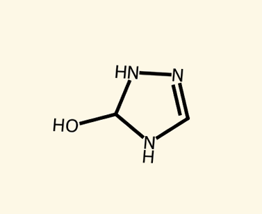 OC1NC=NN1